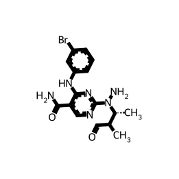 CC(C=O)[C@@H](C)N(N)c1ncc(C(N)=O)c(Nc2cccc(Br)c2)n1